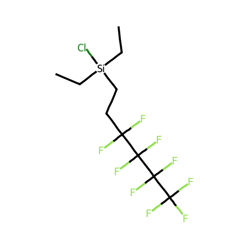 CC[Si](Cl)(CC)CCC(F)(F)C(F)(F)C(F)(F)C(F)(F)F